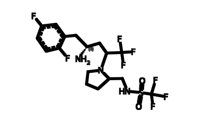 N[C@H](Cc1cc(F)ccc1F)CC(N1CCCC1CNS(=O)(=O)C(F)(F)F)C(F)(F)F